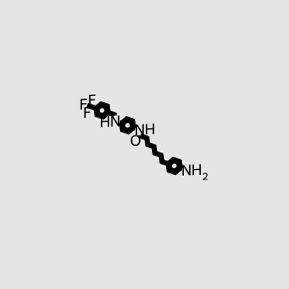 Nc1ccc(CCCCCCC(=O)Nc2ccc(NCc3ccc(C(F)(F)F)cc3)cc2)cc1